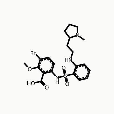 COc1c(Br)ccc(NS(=O)(=O)c2ccccc2NCCC2CCCN2C)c1C(=O)O